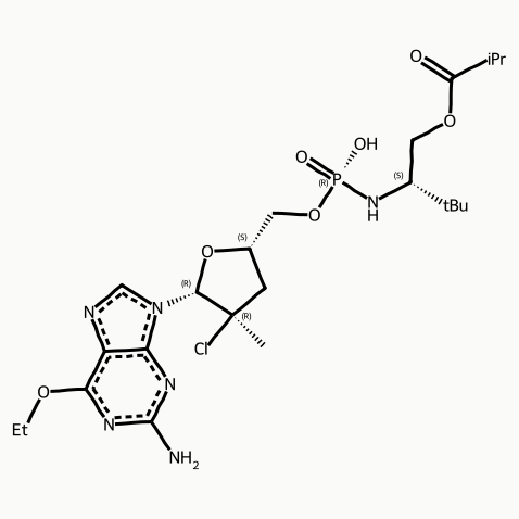 CCOc1nc(N)nc2c1ncn2[C@@H]1O[C@H](CO[P@](=O)(O)N[C@H](COC(=O)C(C)C)C(C)(C)C)C[C@@]1(C)Cl